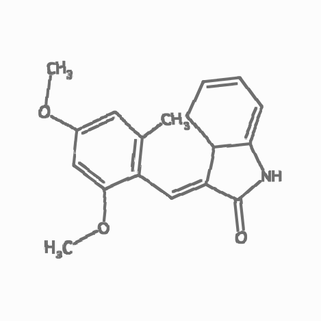 COc1cc(C)c(C=C2C(=O)NC3=CC=CCC32)c(OC)c1